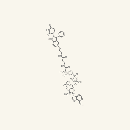 CC(C)(COP(=O)(O)OP(=O)(O)OC[C@H]1O[C@@H](n2cnc3c(N)ncnc32)[C@H](O)[C@@H]1OP(=O)(O)O)[C@@H](O)C(=O)NCCC(=O)NCCSc1ccc2c(c1)C(c1ccccc1)N(C1CCC(=O)NC1=O)C2=O